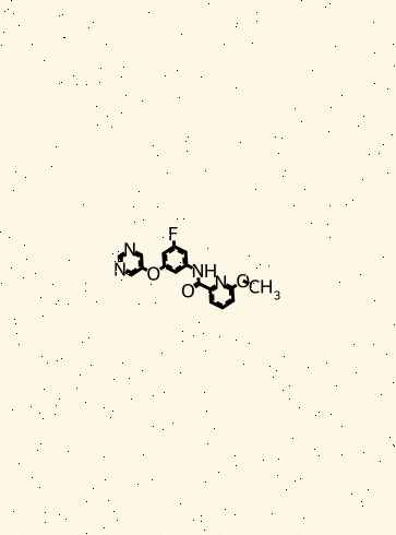 COc1cccc(C(=O)Nc2cc(F)cc(Oc3cncnc3)c2)n1